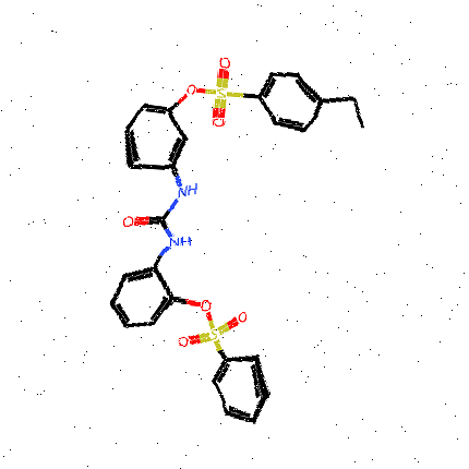 CCc1ccc(S(=O)(=O)Oc2cccc(NC(=O)Nc3ccccc3OS(=O)(=O)c3ccccc3)c2)cc1